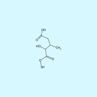 CC(CC(=O)O)C(O)C(=O)OS